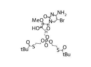 CO[C@@H]1[C@H](O)[C@@H](COP(=O)(OCCSC(=O)C(C)(C)C)OCCSC(=O)C(C)(C)C)O[C@H]1n1cc(Br)c(N)nc1=O